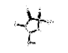 COSOP(=O)(OC)C(=O)OCl